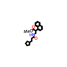 COC(=O)C(CNC(=O)CCC1CCCC1)c1cccc2ccccc12